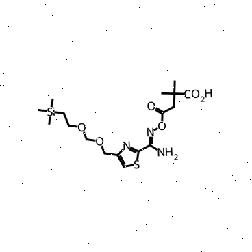 CC(C)(CC(=O)ON=C(N)c1nc(COCOCC[Si](C)(C)C)cs1)C(=O)O